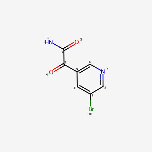 [NH]C(=O)C(=O)c1cncc(Br)c1